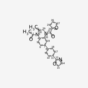 CC(=O)N1c2ccc(-c3ccc(-c4ncco4)cc3)cc2N(C(=O)c2ccco2)C[C@@H]1C